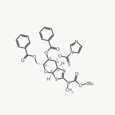 CN(C(=O)OC(C)(C)C)C1=N[C@@H]2[C@@H](OC(=S)n3ccnc3)[C@H](OC(=O)c3ccccc3)[C@@H](COC(=O)c3ccccc3)O[C@@H]2S1